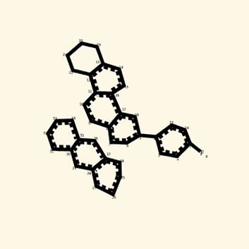 Fc1ccc(-c2ccc3ccc4c5c(ccc4c3c2)CCCC5)cc1.c1ccc2cc3ccccc3cc2c1